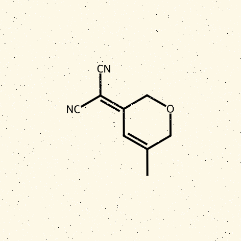 CC1=CC(=C(C#N)C#N)COC1